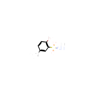 CCNS(=O)(=O)c1cc([N+](=O)[O-])ccc1Br